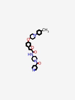 Cc1ccc(N2CCC(Oc3ccc4cc(C(=O)NC5CCN(C(=O)c6ccncc6)CC5)oc4c3)CC2)cc1